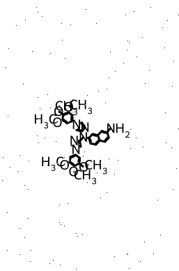 COc1cc(-n2cnc(N(c3ccc4ccc(N)cc4c3)c3cn(-c4cc(OC)c(OC)c(OC)c4)cn3)c2)cc(OC)c1OC